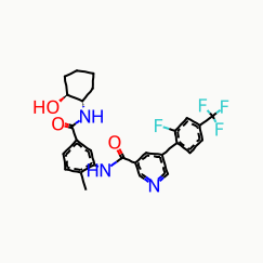 Cc1ccc(C(=O)N[C@H]2CCCC[C@@H]2O)cc1NC(=O)c1cncc(-c2ccc(C(F)(F)F)cc2F)c1